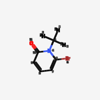 [2H]C([2H])([2H])n1c(Br)cccc1=O